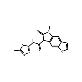 Cc1nnc(NC(=O)C2C(=O)N(C)c3cc4ccoc4cc32)s1